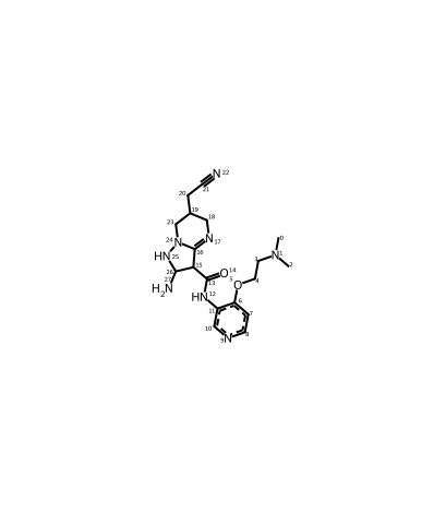 CN(C)CCOc1ccncc1NC(=O)C1C2=NCC(CC#N)CN2NC1N